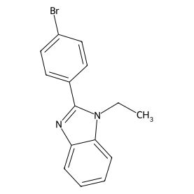 CCn1c(-c2ccc(Br)cc2)nc2ccccc21